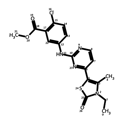 CCn1c(C)c(-c2ccnc(Nc3ccc(Cl)c(C(=O)OC)c3)n2)sc1=O